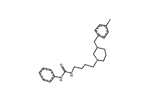 O=C(NCCCCN1CCCC(Cc2ccc(F)cc2)C1)Nc1ccccc1